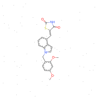 COc1ccc(Cn2ccc3c(C=C4SC(=O)NC4=O)cccc32)c(OC)c1